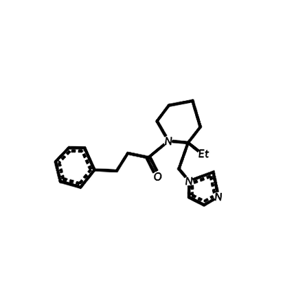 CCC1(Cn2ccnc2)CCCCN1C(=O)CCc1ccccc1